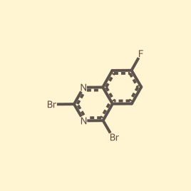 Fc1ccc2c(Br)nc(Br)nc2c1